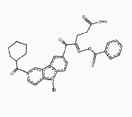 CCn1c2ccc(C(=O)C(CCC(=O)OC)=NOC(=O)c3ccccc3)cc2c2cc(C(=O)C3CCCCC3)ccc21